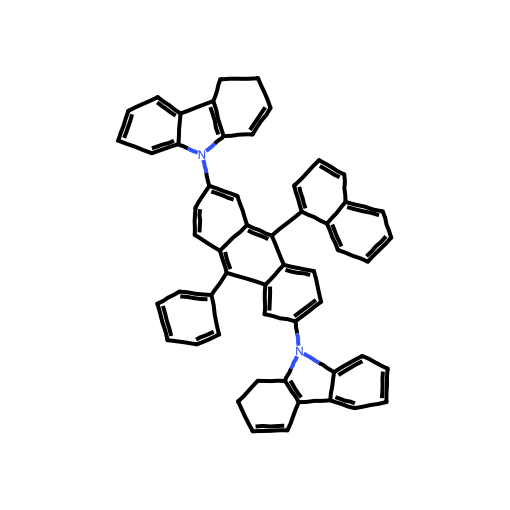 C1=Cc2c(c3ccccc3n2-c2ccc3c(-c4ccccc4)c4cc(-n5c6c(c7ccccc75)C=CCC6)ccc4c(-c4cccc5ccccc45)c3c2)CC1